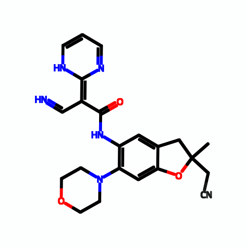 CC1(CC#N)Cc2cc(NC(=O)/C(C=N)=C3\N=CC=CN3)c(N3CCOCC3)cc2O1